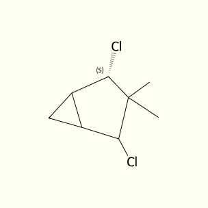 CC1(C)C(Cl)C2CC2[C@@H]1Cl